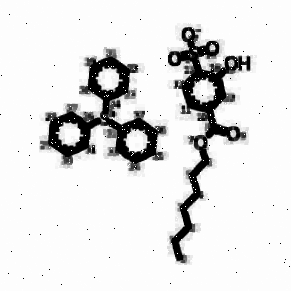 CCCCCCCOC(=O)c1ccc(S(=O)(=O)[O-])c(O)c1.c1ccc([S+](c2ccccc2)c2ccccc2)cc1